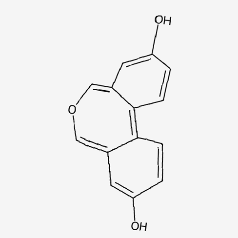 Oc1ccc2c(c1)=COC=c1cc(O)ccc1=2